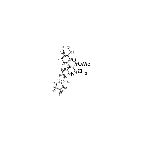 COC(=O)c1c(C)nc2c(ccn2Cc2ccc(F)c(F)c2)c1-c1ccc2c(c1)CCCO2